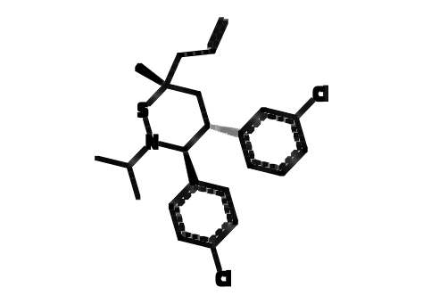 C=CC[C@]1(C)C[C@H](c2cccc(Cl)c2)[C@@H](c2ccc(Cl)cc2)N(C(C)C)S1